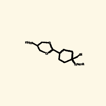 CCCCCCCC1COC(C2CCC(C#N)(CCCCC)CC2)OC1